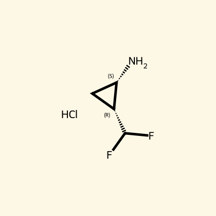 Cl.N[C@H]1C[C@H]1C(F)F